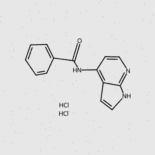 Cl.Cl.O=C(Nc1ccnc2[nH]ccc12)c1ccccc1